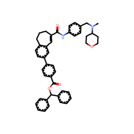 CN(Cc1ccc(NC(=O)C2=Cc3cc(-c4ccc(C(=O)OC(c5ccccc5)c5ccccc5)cc4)ccc3CCC2)cc1)C1CCOCC1